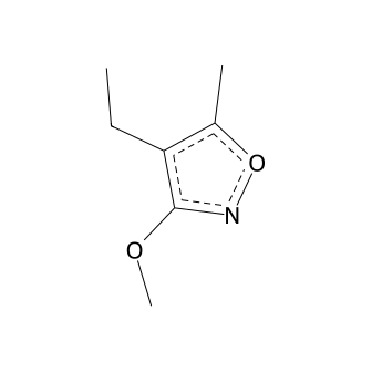 CCc1c(OC)noc1C